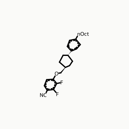 CCCCCCCCc1ccc([C@H]2CC[C@H](COc3ccc(C#N)c(F)c3F)CC2)cc1